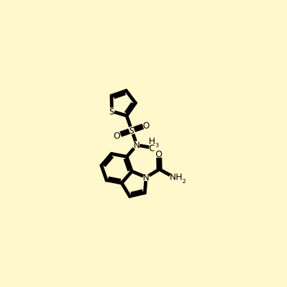 CN(c1cccc2ccn(C(N)=O)c12)S(=O)(=O)c1cccs1